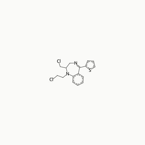 ClCCN1c2ccccc2C(c2cccs2)=NCC1CCl